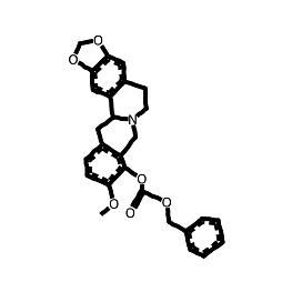 COc1ccc2c(c1OC(=O)OCc1ccccc1)CN1CCc3cc4c(cc3C1C2)OCO4